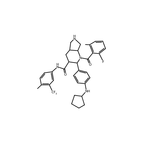 Cc1ccc(NC(=O)C2CC3CNCC3N(C(=O)c3c(C)cccc3F)C2c2ccc(NC3CCCC3)cc2)cc1C(F)(F)F